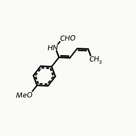 C/C=C\C=C(/NC=O)c1ccc(OC)cc1